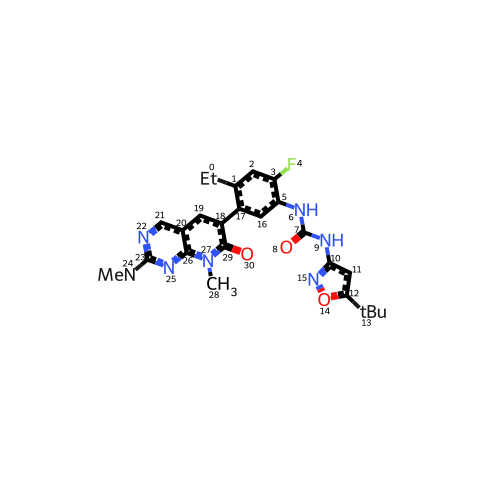 CCc1cc(F)c(NC(=O)Nc2cc(C(C)(C)C)on2)cc1-c1cc2cnc(NC)nc2n(C)c1=O